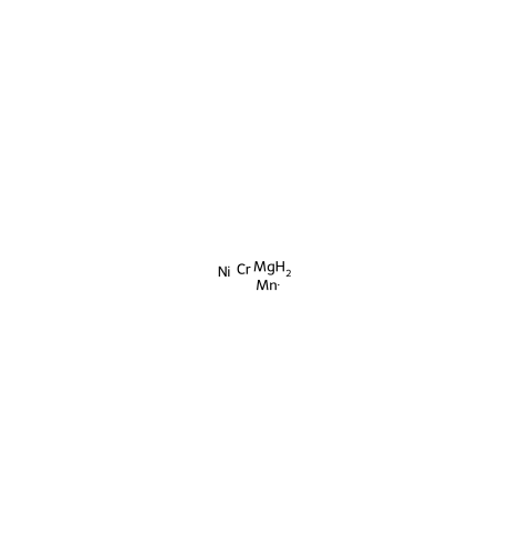 [Cr].[MgH2].[Mn].[Ni]